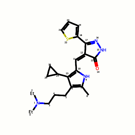 CCN(CC)CCCc1c(C)[nH]c(C=C2C(=O)NN=C2c2cccs2)c1C1CC1